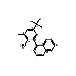 Cc1cc(C(C)(C)C)cc(-c2cccc3ccccc23)c1O